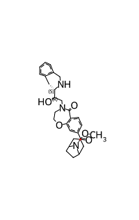 COC1CC2CCC(C1)N2C(=O)c1ccc2c(c1)OCCN(C[C@@H](O)[C@@H]1Cc3ccccc3CN1)C2=O